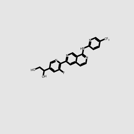 OCC(O)c1cnc(-c2cc3ccnc(Nc4ccc(C(F)(F)F)cn4)c3cn2)c(F)c1